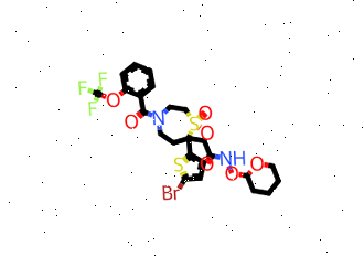 O=C(CC1(c2ccc(Br)s2)CCN(C(=O)c2ccccc2OC(F)(F)F)CCS1(=O)=O)NOC1CCCCO1